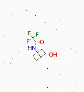 O=C(NC12CCC1C(O)C2)C(F)(F)F